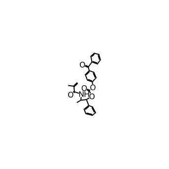 C=C(C)C(=O)NC(C)C(OC(=O)Oc1ccc(C(=O)c2ccccc2)cc1)c1ccccc1